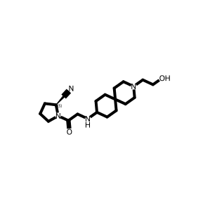 N#C[C@@H]1CCCN1C(=O)CNC1CCC2(CC1)CCN(CCO)CC2